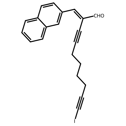 O=CC(C#CCCCCC#CI)=Cc1ccc2ccccc2c1